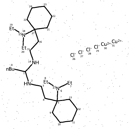 CCCCC(NCCC1([15N](CC)CC)CCCCC1)NCCC1([15N](CC)CC)CCCCC1.[Cl-].[Cl-].[Cl-].[Cl-].[Cu+2].[Cu+2]